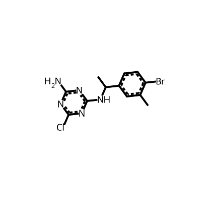 Cc1cc(C(C)Nc2nc(N)nc(Cl)n2)ccc1Br